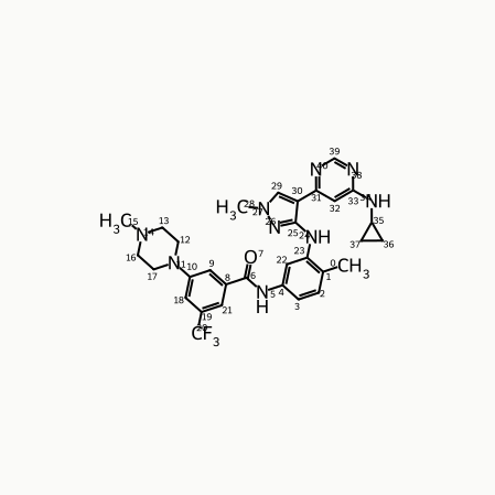 Cc1ccc(NC(=O)c2cc(N3CCN(C)CC3)cc(C(F)(F)F)c2)cc1Nc1nn(C)cc1-c1cc(NC2CC2)ncn1